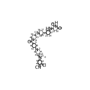 C[C@H]1CC2(CCN(c3ccc(C(=O)N4CCC(CN5CCC(c6cccc(N[C@@H]7CCC(=O)NC7=O)c6)CC5)CC4)cc3)CC2)CN1c1ccc(C#N)c(Cl)c1